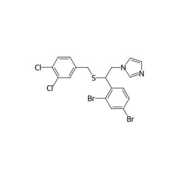 Clc1ccc(CSC(Cn2ccnc2)c2ccc(Br)cc2Br)cc1Cl